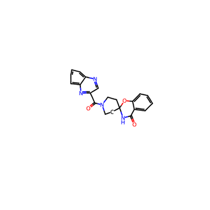 O=C1NC2(CCN(C(=O)c3cnc4ccccc4n3)CC2)Oc2ccccc21